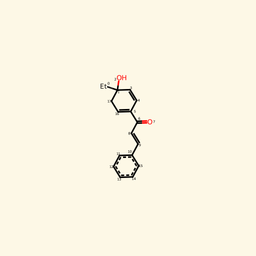 CCC1(O)C=CC(C(=O)C=Cc2ccccc2)=CC1